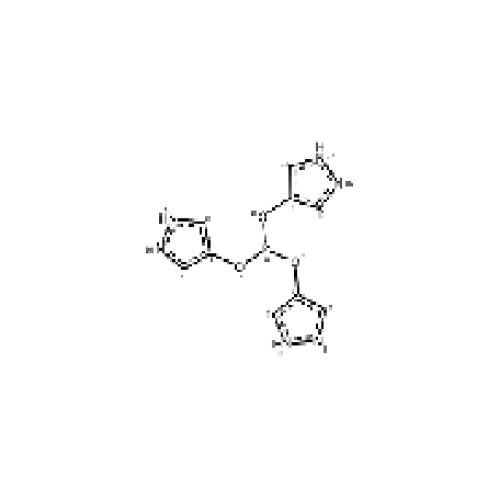 c1n[nH]cc1OP(Oc1cn[nH]c1)Oc1cn[nH]c1